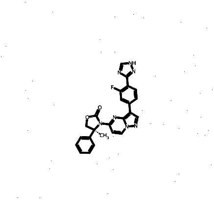 C[C@]1(c2ccccc2)COC(=O)N1c1ccn2ncc(-c3ccc(-c4nc[nH]n4)c(F)c3)c2n1